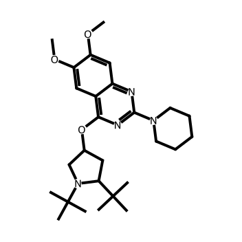 COc1cc2nc(N3CCCCC3)nc(OC3CC(C(C)(C)C)N(C(C)(C)C)C3)c2cc1OC